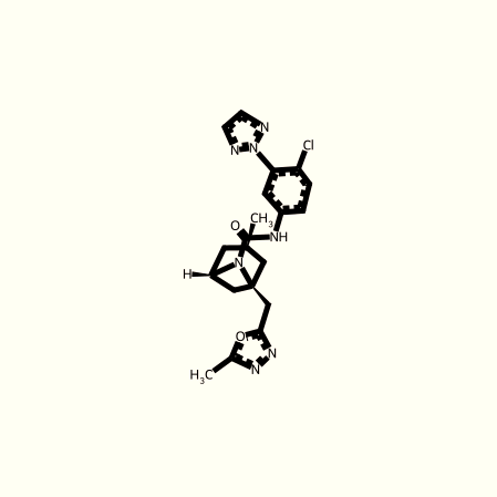 Cc1nnc(C[C@@]23C[C@H](C)C[C@@H](C2)N3C(=O)Nc2ccc(Cl)c(-n3nccn3)c2)o1